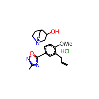 C=CCc1cc(-c2nc(C)no2)ccc1OC.Cl.OC1CN2CCC1CC2